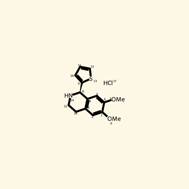 COc1cc2c(cc1OC)[C@H](c1cccs1)NCC2.Cl